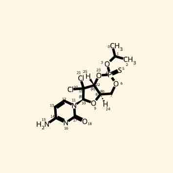 CC(C)OP1(=S)OC[C@H]2O[C@@H](n3ccc(N)nc3=O)C(Cl)(Cl)[C@@H]2O1